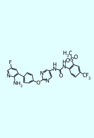 CS(=O)(=O)c1cc(C(F)(F)F)ccc1NC(=O)Nc1cnc(Oc2ccc(-c3cc(F)cnc3N)cc2)nc1